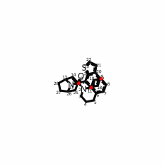 O=C(N1CCCc2ccccc21)N1C2C=C(c3cccc4ccsc34)CC1CC2